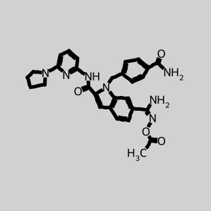 CC(=O)O/N=C(/N)c1ccc2cc(C(=O)Nc3cccc(N4CCCC4)n3)n(Cc3ccc(C(N)=O)cc3)c2c1